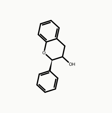 OC1Cc2ccccc2O[C@@H]1c1ccccc1